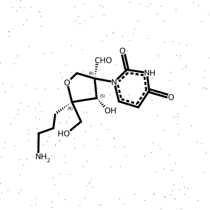 NCCC[C@]1(CO)OC[C@@](C=O)(n2ccc(=O)[nH]c2=O)[C@@H]1O